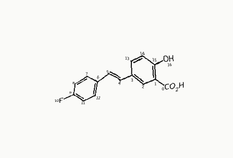 O=C(O)c1cc(/C=C/c2ccc(F)cc2)ccc1O